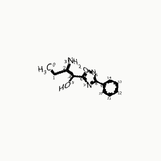 CCC(N)C(O)c1nc(-c2ccccc2)no1